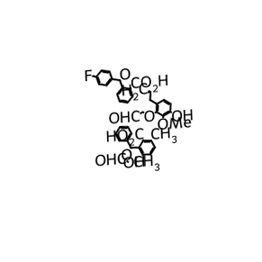 C=CCc1ccc(O)c(OC)c1OCC=O.Cc1ccc(C)c(C(=O)c2ccccc2)c1C(=O)O.O=C(O)c1ccccc1C(=O)c1ccc(F)cc1.O=CO